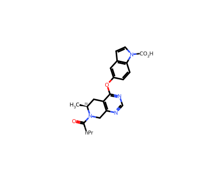 CCCC(=O)N1Cc2ncnc(Oc3ccc4c(ccn4C(=O)O)c3)c2C[C@@H]1C